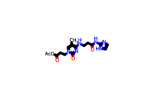 CC(=O)OC(=O)CCn1cc(C)c(NCCC(=O)Nc2ncc[nH]2)nc1=O